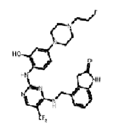 O=C1Cc2c(CNc3nc(Nc4ccc(N5CCN(CCF)CC5)cc4O)ncc3C(F)(F)F)cccc2N1